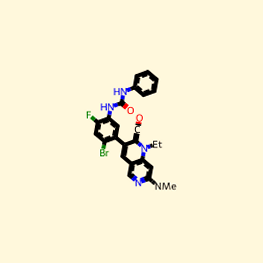 CCN1C(=C=O)C(c2cc(NC(=O)Nc3ccccc3)c(F)cc2Br)=Cc2cnc(NC)cc21